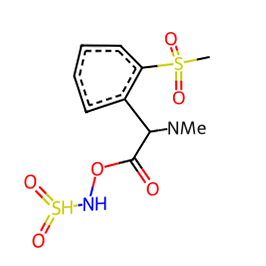 CNC(C(=O)ON[SH](=O)=O)c1ccccc1S(C)(=O)=O